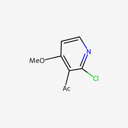 COc1ccnc(Cl)c1C(C)=O